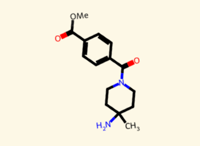 COC(=O)c1ccc(C(=O)N2CCC(C)(N)CC2)cc1